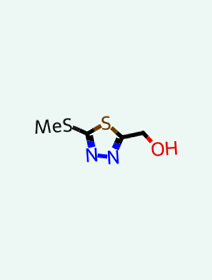 CSc1nnc(CO)s1